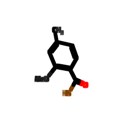 COc1cc(C)ccc1C(=O)S